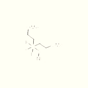 COCCS(F)(F)(F)(CCOC)SN